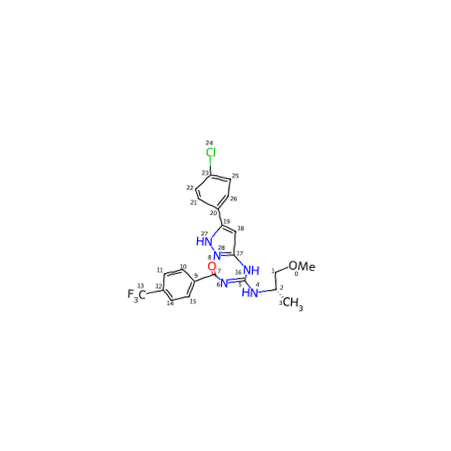 COC[C@H](C)N/C(=N/C(=O)c1ccc(C(F)(F)F)cc1)Nc1cc(-c2ccc(Cl)cc2)[nH]n1